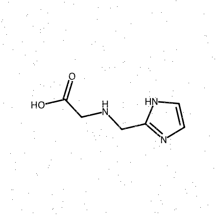 O=C(O)CNCc1ncc[nH]1